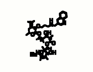 CC[C@@H](C)CN(C)[C@H](C)[C@@H](O)[C@](C)(O)[C@@H](I)OC(=O)[C@H](C)[C@@H](O)[C@H](C)[C@H](C)O[C@@H]1OC(C)C[C@H](N(C)C)[C@H]1OCCCNCc1cnc2ccccc2c1